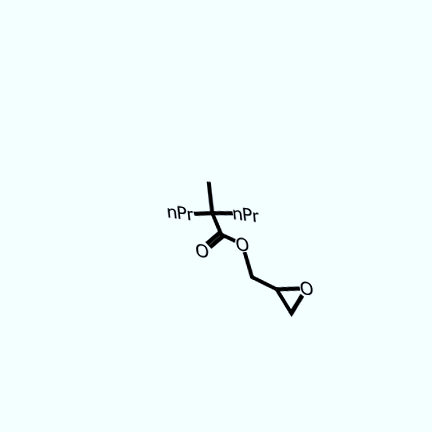 CCCC(C)(CCC)C(=O)OCC1CO1